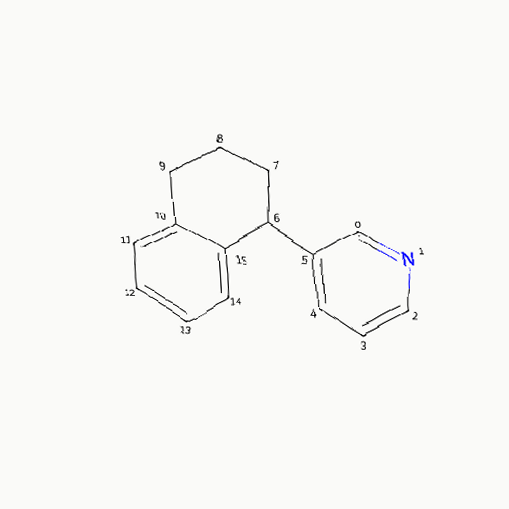 [c]1ncccc1C1CCCc2ccccc21